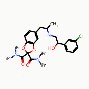 CC(Cc1ccc2c(c1)OC(C(=O)N(C(C)C)C(C)C)(C(=O)N(C(C)C)C(C)C)O2)NCC(O)c1cccc(Cl)c1